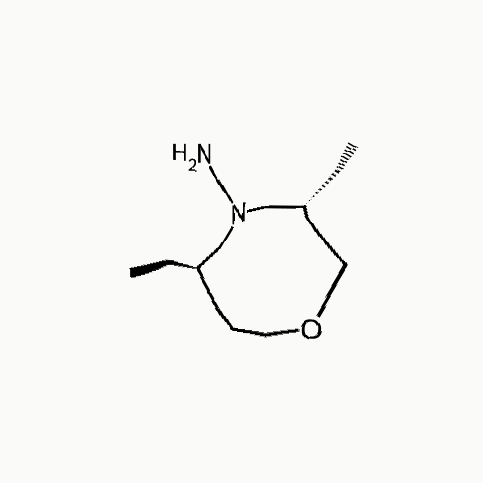 C[C@@H]1COC[C@@H](C)N1N